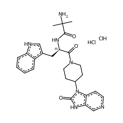 CC(C)(N)C(=O)N[C@H](Cc1c[nH]c2ccccc12)C(=O)N1CCC(n2c(=O)[nH]c3cnccc32)CC1.Cl.Cl